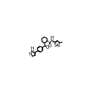 Cc1cc(NC(=O)[C@H]2CCCC[C@@H]2C(=O)c2ccc(-c3ccn[nH]3)cc2)sn1